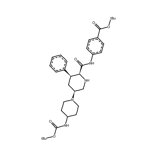 CC(C)(C)OC(=O)NC1CCN([C@@H]2CN[C@H](C(=O)Nc3ccc(C(=O)OC(C)(C)C)cc3)[C@H](c3ccccc3)C2)CC1